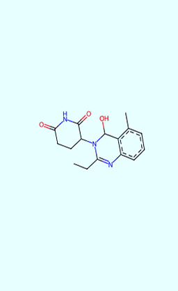 CCC1=Nc2cccc(C)c2C(O)N1C1CCC(=O)NC1=O